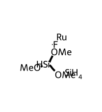 CO[SiH](OC)OC.[F].[Ru].[SiH4]